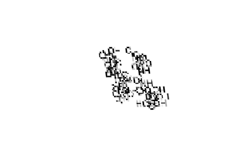 CC[C@H](C)[C@@H]([C@@H](CC(=O)N1CCC[C@H]1[C@H](OC)[C@@H](C)C(=O)N[C@H](C)[C@@H](O)c1ccccc1)OC)N(C)C(=O)[C@@H](NC(=O)[C@H](C(C)C)N(C)C(=O)OCc1ccc(O[C@@H]2O[C@H](C(=O)O)[C@@H](O)[C@H](O)[C@H]2O)c(NC(=O)CCNC(=O)[C@](C)(CNCCOC)N2C(=O)C=CC2=O)c1)C(C)C